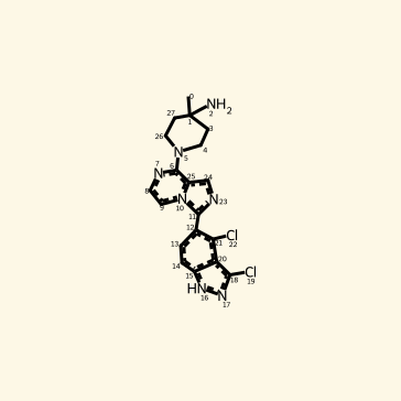 CC1(N)CCN(c2nccn3c(-c4ccc5[nH]nc(Cl)c5c4Cl)ncc23)CC1